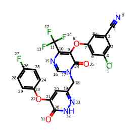 N#Cc1cc(Cl)cc(Oc2c(C(F)(F)F)ncn(Cc3cc(Oc4ccc(F)cc4)c(=O)[nH]n3)c2=O)c1